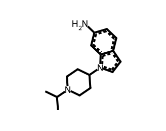 CC(C)N1CCC(n2ccc3ccc(N)cc32)CC1